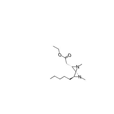 CCCCC[C@@H]1N(C)[C@@]12[C@H](CC(=O)OCC)N2C